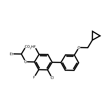 CCC(Oc1c(F)cc(-c2cccc(OCC3CC3)c2)c(Cl)c1F)C(=O)O